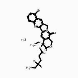 CC[C@@]1(OC(=O)CCC(F)(F)CN)C(=O)OCc2c1cc1n(c2=O)Cc2cc3c(Br)cccc3nc2-1.Cl